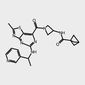 Cc1nc2nc(NC(C)c3cccnc3)nc(C(=O)N3CC(NC(=O)C45CC(C4)C5)C3)c2s1